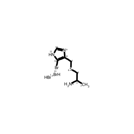 Br.Br.CC(N)CSCc1nc[nH]c1Br